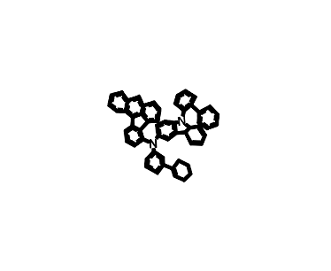 C1=CC2c3cc(N(c4cccc(C5=CCCCC5)c4)c4cccc5c4-c4cccc6cc7ccccc7c-5c46)ccc3N(c3ccccc3-c3ccccc3)C2C=C1